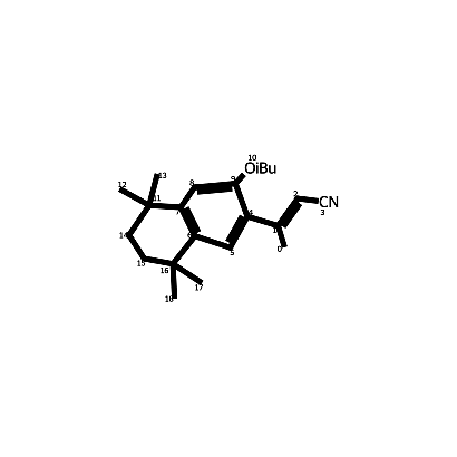 CC(=CC#N)c1cc2c(cc1OCC(C)C)C(C)(C)CCC2(C)C